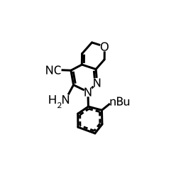 CCCCc1ccccc1N1N=C2COCC=C2C(C#N)=C1N